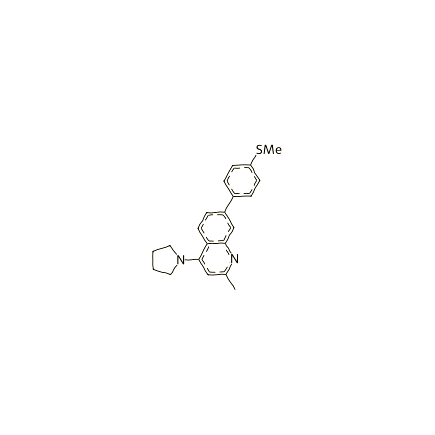 CSc1ccc(-c2ccc3c(N4CCCC4)cc(C)nc3c2)cc1